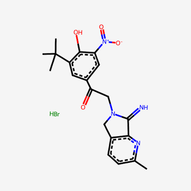 Br.Cc1ccc2c(n1)C(=N)N(CC(=O)c1cc([N+](=O)[O-])c(O)c(C(C)(C)C)c1)C2